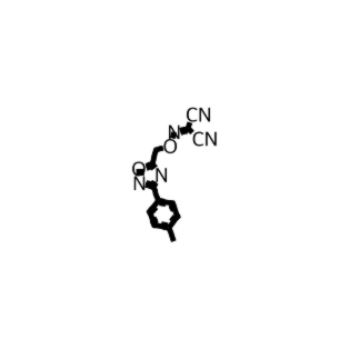 Cc1ccc(-c2noc(CON=C(C#N)C#N)n2)cc1